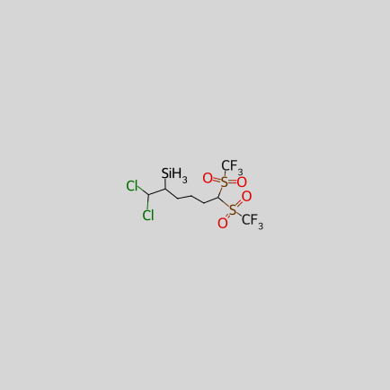 O=S(=O)(C(CCCC([SiH3])C(Cl)Cl)S(=O)(=O)C(F)(F)F)C(F)(F)F